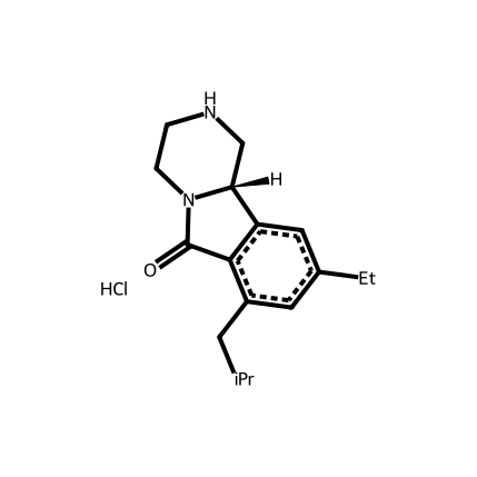 CCc1cc(CC(C)C)c2c(c1)[C@H]1CNCCN1C2=O.Cl